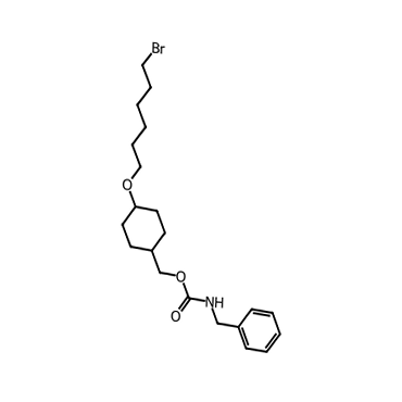 O=C(NCc1ccccc1)OCC1CCC(OCCCCCCBr)CC1